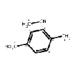 CC#N.Cc1ccc(C(=O)O)cc1